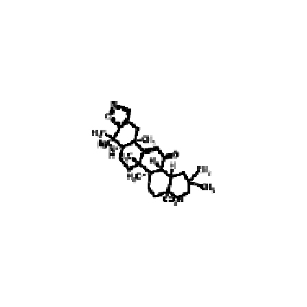 CC1(C)CC[C@]2(C(=O)O)CC[C@]3(C)[C@H](C(=O)C=C4[C@@]3(C)CC[C@@]3(NO)C(C)(C)c5oncc5C[C@]43C)[C@@H]2C1